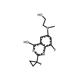 CN(CCO)c1cc(F)c2nc(C3(F)CC3)nc(O)c2c1